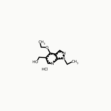 CCOc1c(CO)cnc2c1cnn2CC.Cl